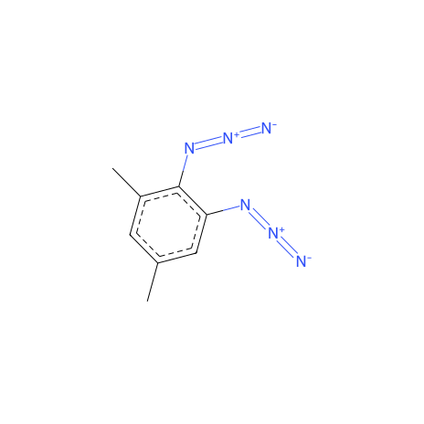 Cc1cc(C)c(N=[N+]=[N-])c(N=[N+]=[N-])c1